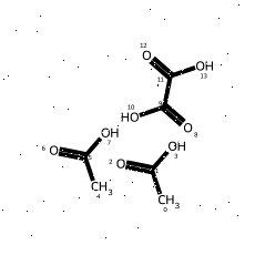 CC(=O)O.CC(=O)O.O=C(O)C(=O)O